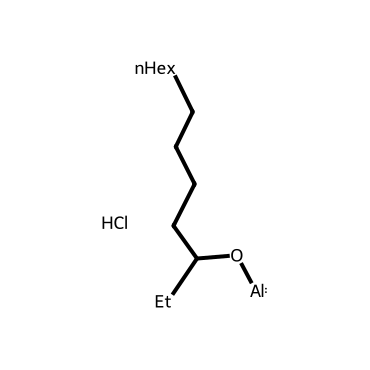 CCCCCCCCCCC(CC)[O][Al].Cl